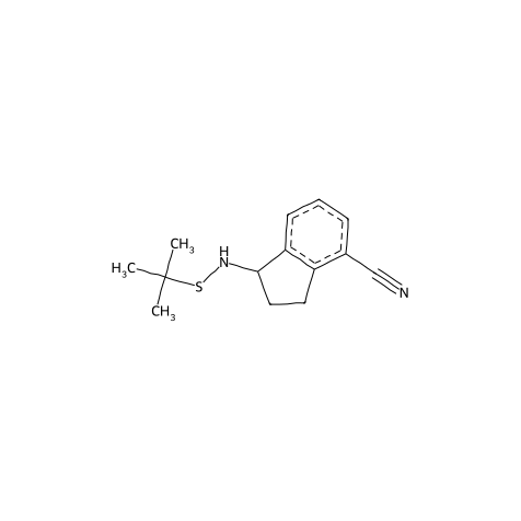 CC(C)(C)SNC1CCc2c(C#N)cccc21